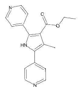 CCOC(=O)c1c(-c2ccncc2)[nH]c(-c2ccncc2)c1C